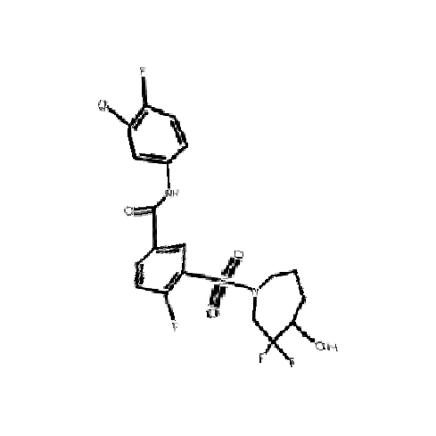 O=C(Nc1ccc(F)c(Cl)c1)c1ccc(F)c(S(=O)(=O)N2CCCC(O)C(F)(F)C2)c1